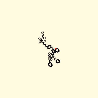 CC[C@@]12CO[C@@](c3ccc(C)c(Cc4ccc(CCCC(=O)NC(C)(C)C(=O)NCCN(C)C)cc4)c3)(O1)[C@H](OCc1ccccc1)[C@@H](OCc1ccccc1)[C@@H]2OCc1ccccc1